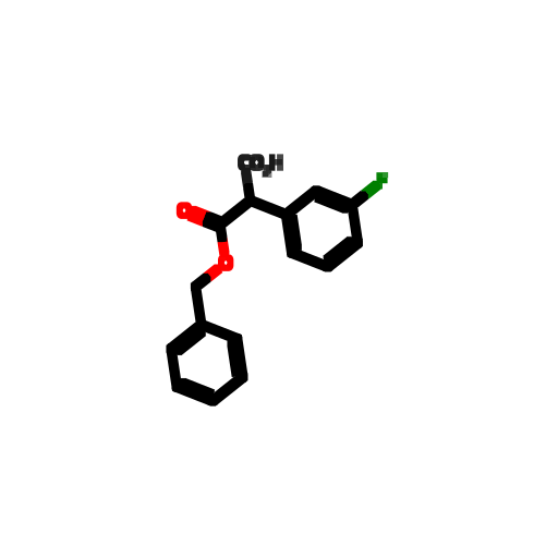 O=C(O)C(C(=O)OCc1ccccc1)c1cccc(F)c1